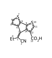 CCC(C#N)=C1c2ccsc2-c2scc(C(=O)O)c21